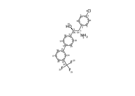 N[C@@H](c1ccc(Cl)cc1)[C@H](O)c1ccc(-c2cccc(C(F)(F)F)c2)cc1